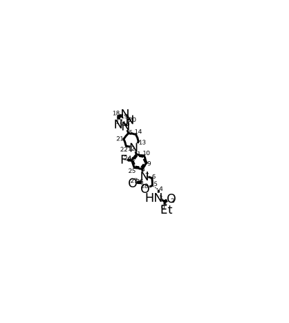 CCC(=O)NC[C@H]1CN(c2ccc(N3CCC(n4ncnn4)CC3)c(F)c2)C(=O)O1